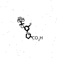 CC(C)(C)OC(=O)C(C)(C)Oc1cc(F)cc(N2CCCC(C(=O)O)C2)c1